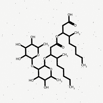 CCCCCC(C)C(CC(=O)O)OC(=O)CC(OC1OC(C)C(O)C(O)C1OC1OC(C)C(O)C(O)C1O)C(C)CCCCC